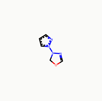 C1=NN(n2cccn2)CO1